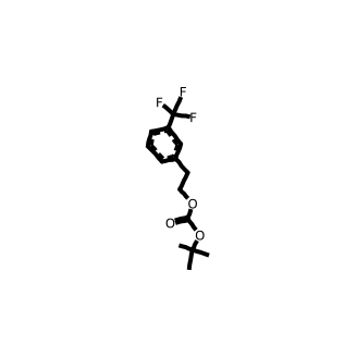 CC(C)(C)OC(=O)OCCc1cccc(C(F)(F)F)c1